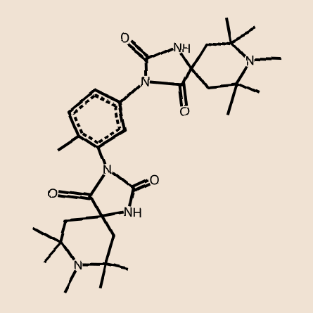 Cc1ccc(N2C(=O)NC3(CC(C)(C)N(C)C(C)(C)C3)C2=O)cc1N1C(=O)NC2(CC(C)(C)N(C)C(C)(C)C2)C1=O